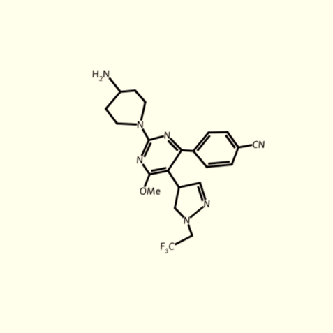 COc1nc(N2CCC(N)CC2)nc(-c2ccc(C#N)cc2)c1C1C=NN(CC(F)(F)F)C1